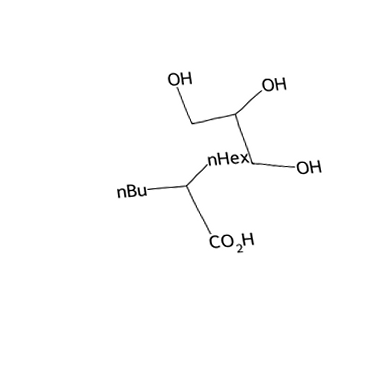 CCCCCCC(CCCC)C(=O)O.OCC(O)CO